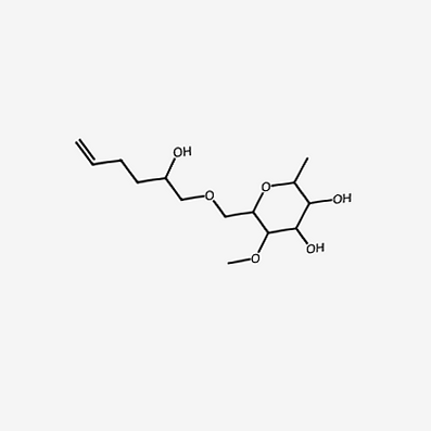 C=CCCC(O)COCC1OC(C)C(O)C(O)C1OC